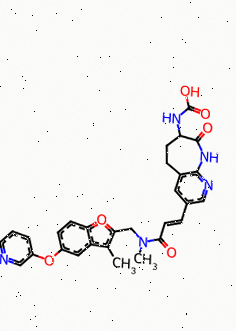 Cc1c(CN(C)C(=O)C=Cc2cnc3c(c2)CCC(NC(=O)O)C(=O)N3)oc2ccc(Oc3cccnc3)cc12